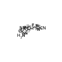 CNC(=O)[C@]12CC1[C@@](C)(c1cc(/C=C(\F)c3cnc(C#N)cn3)ccc1F)N=C(N)S2